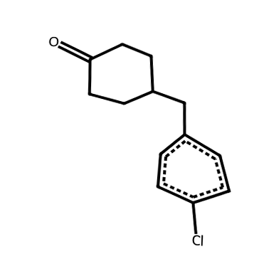 O=C1CCC(Cc2ccc(Cl)cc2)CC1